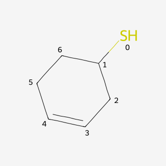 SC1CC=CCC1